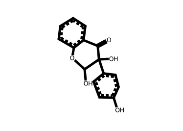 O=C1c2ccccc2OC(O)C1(O)c1ccc(O)cc1